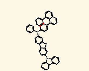 c1ccc(-c2cccc3cccc(-c4ccc(N(c5ccccc5)c5ccc6c(c5)oc5cc(-n7c8ccccc8c8ccccc87)ccc56)cc4)c23)cc1